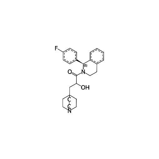 O=C(C(O)CC12CCN(CC1)CC2)N1CCc2ccccc2[C@@H]1c1ccc(F)cc1